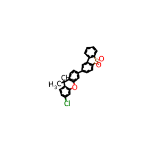 CC1(C)c2ccc(Cl)cc2Oc2cc(-c3ccc4c(c3)-c3ccccc3S4(=O)=O)ccc21